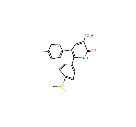 C[S+]([O-])c1ccc(-c2[nH]c(=O)c(C(=O)O)cc2-c2ccc(F)cc2)cc1